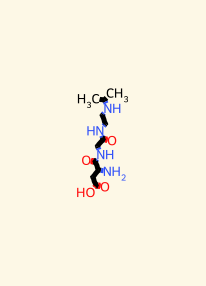 CC(C)NCCNC(=O)CNC(=O)C(N)CC(=O)O